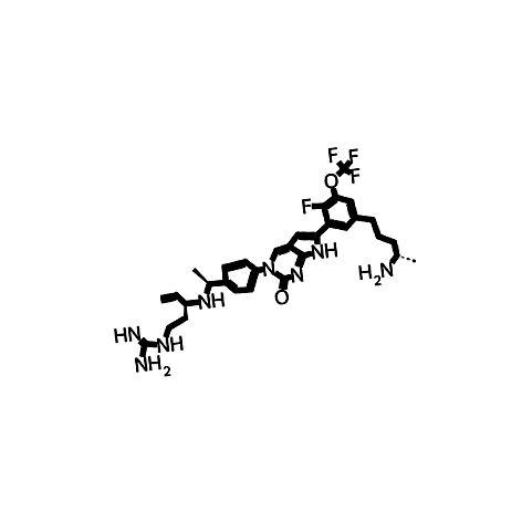 C=C[C@H](CCNC(=N)N)N[C@@H](C)c1ccc(-n2cc3cc(-c4cc(CCC[C@H](C)N)cc(OC(F)(F)F)c4F)[nH]c3nc2=O)cc1